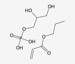 C=CC(=O)OCCC.O=P(O)(O)OCC(O)CO